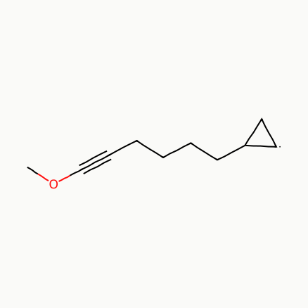 COC#CCCCCC1[CH]C1